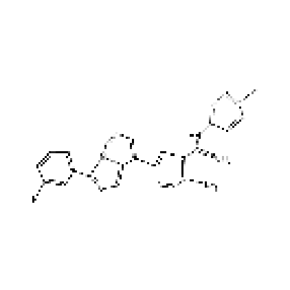 C=C(Nc1ccc(F)cc1)c1cc(-c2cccn3c(-c4cccc(F)c4)ncc23)ccc1C(F)(F)F